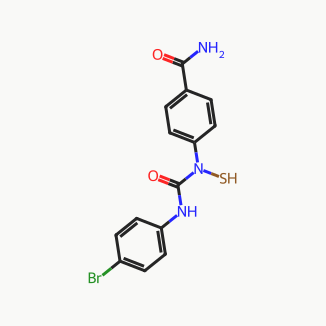 NC(=O)c1ccc(N(S)C(=O)Nc2ccc(Br)cc2)cc1